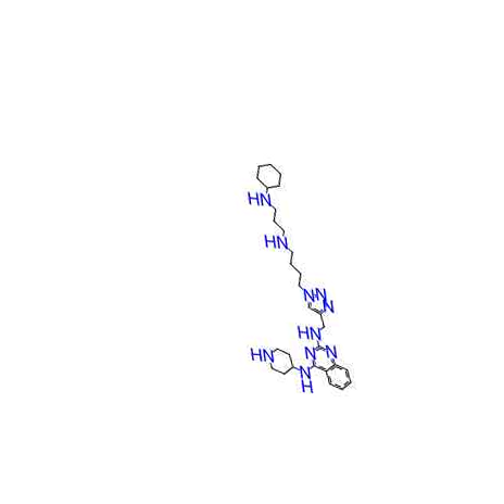 c1ccc2c(NC3CCNCC3)nc(NCc3cn(CCCCNCCCNC4CCCCC4)nn3)nc2c1